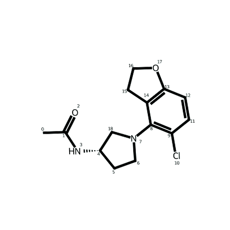 CC(=O)N[C@H]1CCN(c2c(Cl)ccc3c2CCO3)C1